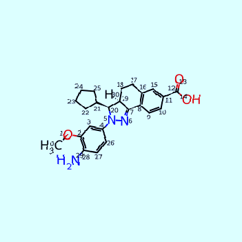 COc1cc(N2N=C3c4ccc(C(=O)O)cc4CC[C@@H]3[C@@H]2C2CCCC2)ccc1N